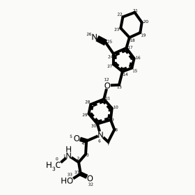 CNC(CC(=O)N1CCc2cc(OCc3ccc(C4CCCCC4)c(C#N)c3)ccc21)C(=O)O